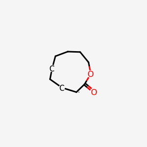 O=C1[CH]CCCCCCCO1